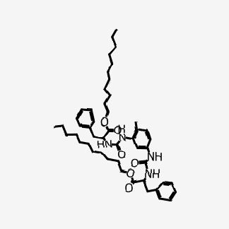 CCCCCCCCCCCOC(=O)C(Cc1ccccc1)NC(=O)Nc1ccc(C)c(NC(=O)NC(Cc2ccccc2)C(=O)OCCCCCCCCCCC)c1